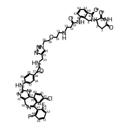 O=C1CCC(N2Cc3c(NC(=O)CCNCCOCCn4cc(CNC5OC5c5ccc(Nc6ncc7c(n6)-c6ccc(Cl)cc6C(c6c(F)cccc6F)=NC7)cc5)nn4)cccc3C2=O)C(=O)N1